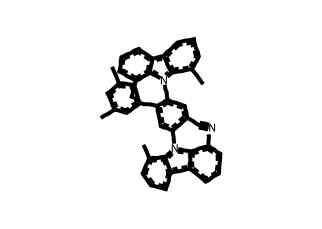 Cc1cc(C)cc(-c2cc(-n3c4c(C)cccc4c4cccc(C)c43)c(C#N)cc2-n2c3c(C)cccc3c3cccc(C)c32)c1